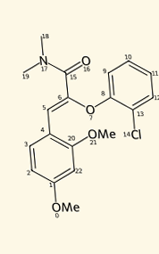 COc1ccc(C=C(Oc2ccccc2Cl)C(=O)N(C)C)c(OC)c1